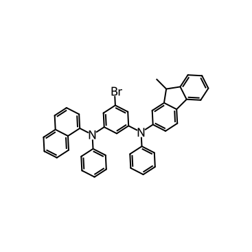 CC1c2ccccc2-c2ccc(N(c3ccccc3)c3cc(Br)cc(N(c4ccccc4)c4cccc5ccccc45)c3)cc21